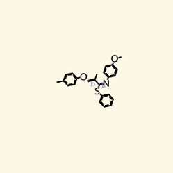 COc1ccc(/N=C(Sc2ccccc2)\C(C)=C\Oc2ccc(C)cc2)cc1